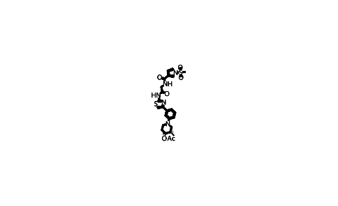 CC(=O)O[C@@H]1CCN(c2cccc(-c3csc(NC(=O)CNC(=O)c4ccn(S(C)(=O)=O)c4)n3)c2)C[C@H]1C